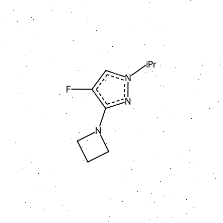 CC(C)n1cc(F)c(N2CCC2)n1